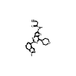 CN(C(=O)CC(C)(C)C)c1cc2nc(-c3cccc4[nH]ncc34)nc(N3CCOCC3)c2s1